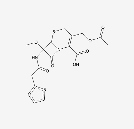 COC1(NC(=O)Cc2cccs2)C(=O)N2C(C(=O)O)=C(COC(C)=O)CSC21